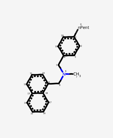 CCCCCc1ccc(CN(C)Cc2cccc3ccccc23)cc1